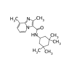 Cc1nc2c(C)cccn2c1C(=O)NC1CC(C)(C)CC(C)(C)C1